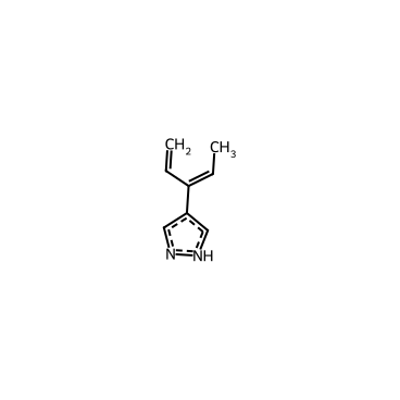 C=C/C(=C\C)c1cn[nH]c1